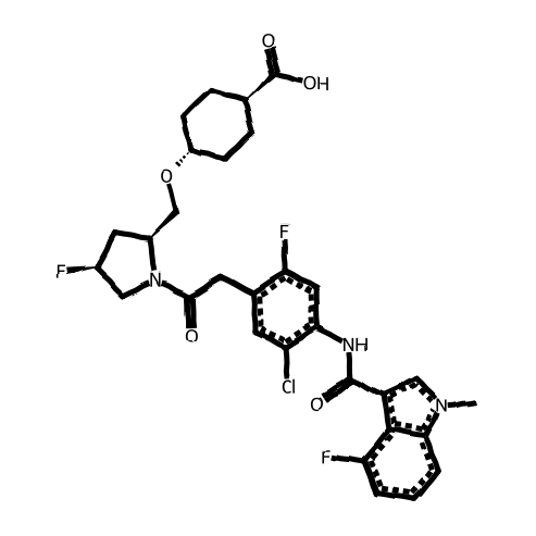 Cn1cc(C(=O)Nc2cc(F)c(CC(=O)N3C[C@@H](F)C[C@H]3CO[C@H]3CC[C@H](C(=O)O)CC3)cc2Cl)c2c(F)cccc21